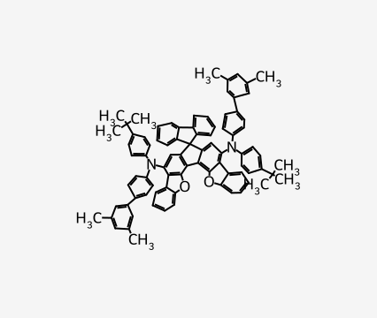 Cc1cc(C)cc(-c2ccc(N(c3ccc(C(C)(C)C)cc3)c3cc4c(c5oc6ccccc6c35)-c3c(cc(N(c5ccc(-c6cc(C)cc(C)c6)cc5)c5ccc(C(C)(C)C)cc5)c5c3oc3ccccc35)C43c4ccccc4-c4ccccc43)cc2)c1